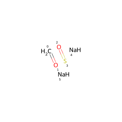 C=O.O=S.[NaH].[NaH]